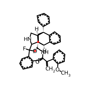 C=C(C(=O)NC(=O)[C@]12C(C(F)(F)c3ccccc3F)NC[C@H]1[C@@]1(c3ccccc3)CC[C@@H]2c2ccccc21)c1ccccc1OC